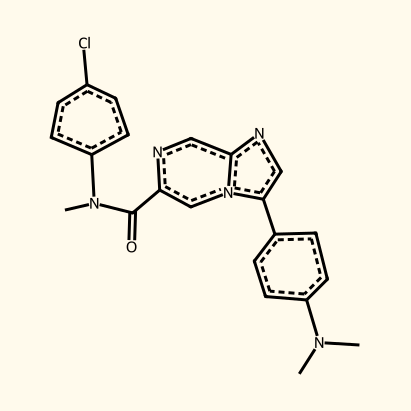 CN(C)c1ccc(-c2cnc3cnc(C(=O)N(C)c4ccc(Cl)cc4)cn23)cc1